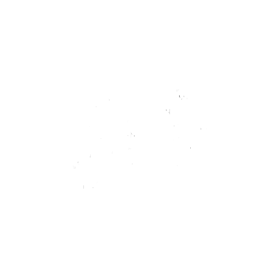 CCCCSC(SCCCC)c1c(Cl)n(Cc2ccccc2C(=NOC)C(=O)O)c2ccccc12